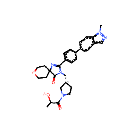 CC(O)C(=O)N1CC[C@@H](CN2C(=O)C3(CCOCC3)N=C2c2ccc(-c3ccc4c(cnn4C)c3)cc2)C1